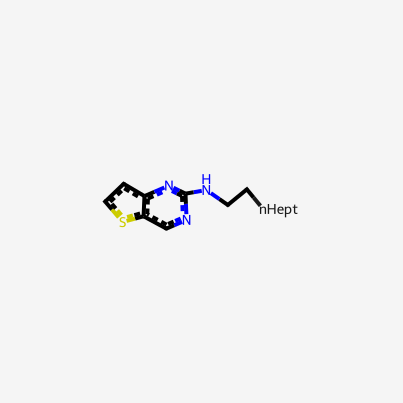 CCCCCCCCCNc1ncc2sccc2n1